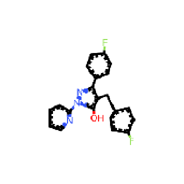 Oc1c(Cc2ccc(F)cc2)c(-c2ccc(F)cc2)nn1-c1ccccn1